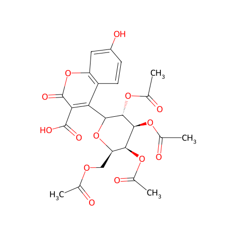 CC(=O)OC[C@H]1OC(c2c(C(=O)O)c(=O)oc3cc(O)ccc23)[C@H](OC(C)=O)[C@@H](OC(C)=O)[C@H]1OC(C)=O